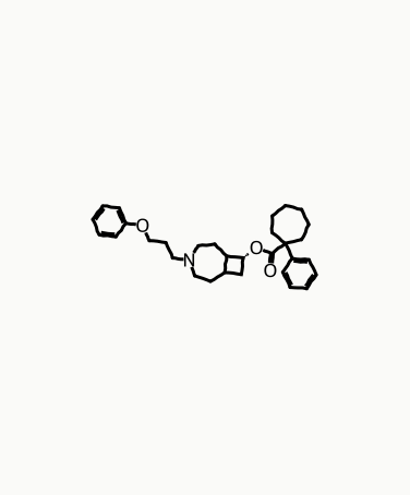 O=C(O[C@@H]1CC2CCN(CCCOc3ccccc3)CCC21)C1(c2ccccc2)CCCCCC1